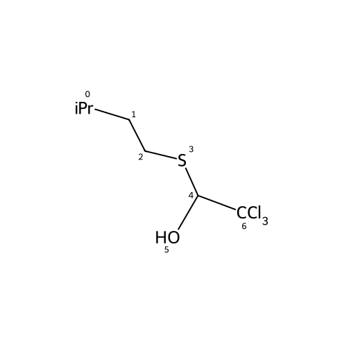 CC(C)CCSC(O)C(Cl)(Cl)Cl